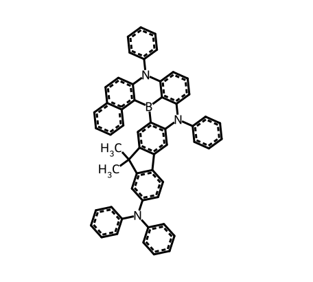 CC1(C)c2cc(N(c3ccccc3)c3ccccc3)ccc2-c2cc3c(cc21)B1c2c(cccc2N(c2ccccc2)c2ccc4ccccc4c21)N3c1ccccc1